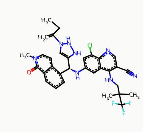 C=C(CC)N1C=C([C@@H](Nc2cc(Cl)c3ncc(C#N)c(NCC(C)(C)C(F)(F)F)c3c2)c2cccc3c(=O)n(C)ccc23)NN1